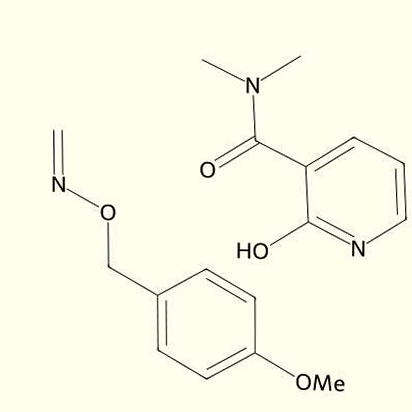 C=NOCc1ccc(OC)cc1.CN(C)C(=O)c1cccnc1O